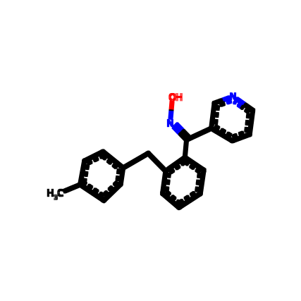 Cc1ccc(Cc2ccccc2C(=NO)c2cccnc2)cc1